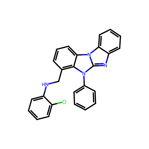 Clc1ccccc1NCc1cccc2c1n(-c1ccccc1)c1nc3ccccc3n21